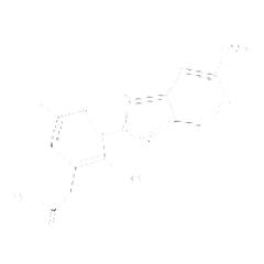 C=C(C)Cc1cc(C)cc(-n2nc3ccc(OC)cc3n2)c1O